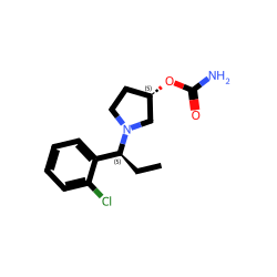 CC[C@@H](c1ccccc1Cl)N1CC[C@H](OC(N)=O)C1